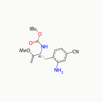 C=C(OC)[C@@H](Cc1ccc(C#N)cc1N)NC(=O)OC(C)(C)C